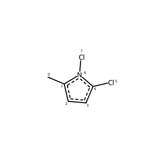 Cc1ccc(Cl)n1Cl